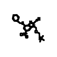 C[Si](C)(C)CCOCn1c(C#N)nc2c(SCc3ccccc3)cc([N+](=O)[O-])cc21